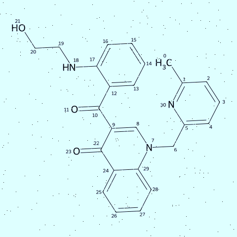 Cc1cccc(Cn2cc(C(=O)c3ccccc3NCCO)c(=O)c3ccccc32)n1